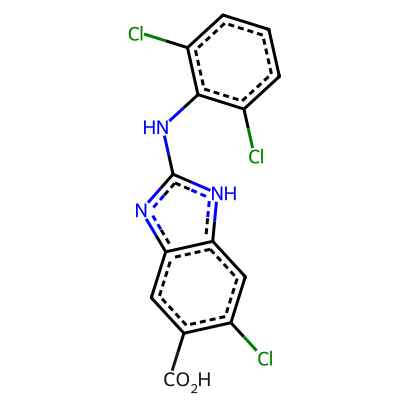 O=C(O)c1cc2nc(Nc3c(Cl)cccc3Cl)[nH]c2cc1Cl